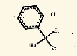 CCC(C)[N+](CC)(CC)c1ccccc1.[Cl-]